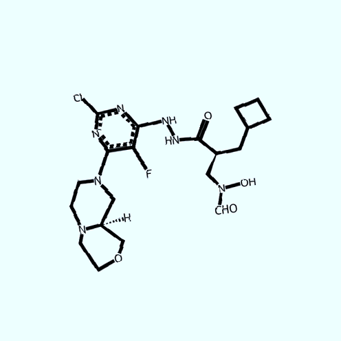 O=CN(O)C[C@H](CC1CCC1)C(=O)NNc1nc(Cl)nc(N2CCN3CCOC[C@@H]3C2)c1F